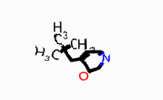 CC(C)(C)CC1=CC=NCC1=O